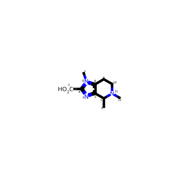 CC1c2nc(C(=O)O)n(C)c2CCN1C